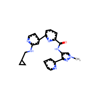 Cn1cc(NC(=O)c2cccc(-c3ccnc(NCC4CC4)c3)n2)c(-c2ccccn2)n1